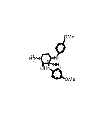 COc1ccc(NC2CCN([PH2]=O)C(=O)[C@@]2(N)Nc2ccc(OC)cc2)cc1